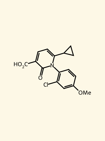 COc1ccc(-n2c(C3CC3)ccc(C(=O)O)c2=O)c(Cl)c1